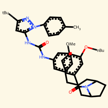 CCCCOc1cc(C(=O)N2C3CCC2CC(Cc2cccc(NC(=O)Nc4cc(C(C)(C)C)nn4-c4ccc(C)cc4)c2)C3)ccc1OC